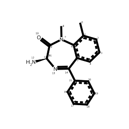 Cc1cccc2c1N(C)C(=O)[C@H](N)N=C2c1ccccc1